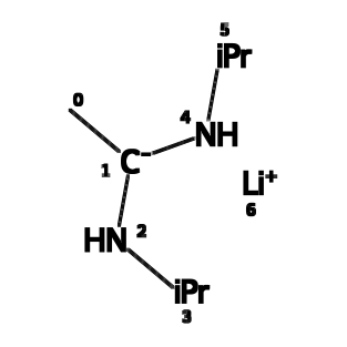 C[C-](NC(C)C)NC(C)C.[Li+]